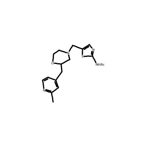 CC(=O)Nc1ncc(CN2CCOC(Cc3ccnc(C)c3)C2)s1